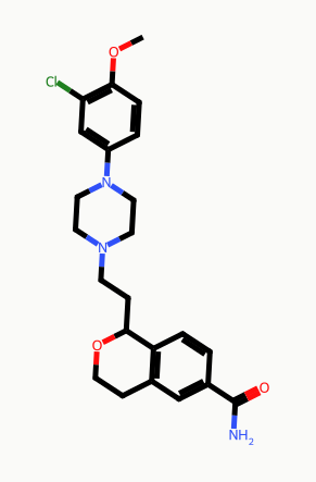 COc1ccc(N2CCN(CCC3OCCc4cc(C(N)=O)ccc43)CC2)cc1Cl